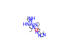 CCc1cc(Nc2cc(C)[nH]n2)nc(N2CCCC2c2cc(-c3nccnc3C)no2)n1